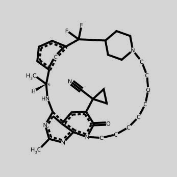 Cc1nc2c3cc(C4(C#N)CC4)c(=O)n(c3n1)CCCCCOCCN1CCC(CC1)C(F)(F)c1cccc(c1)[C@@H](C)N2